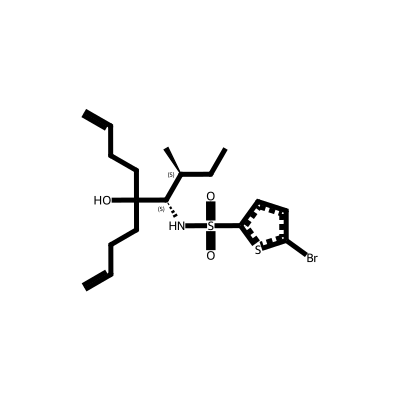 C=CCCC(O)(CCC=C)[C@@H](NS(=O)(=O)c1ccc(Br)s1)[C@@H](C)CC